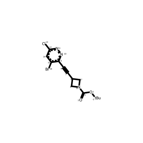 CC(C)(C)OC(=O)N1CC(C#Cc2nnc(Cl)cc2Br)C1